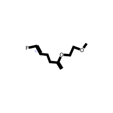 C=C(CC/C=C/F)OCCOC